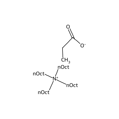 CCC(=O)[O-].CCCCCCCC[N+](CCCCCCCC)(CCCCCCCC)CCCCCCCC